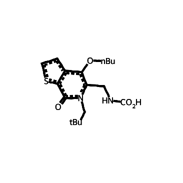 CCCCOc1c(CNC(=O)O)n(CC(C)(C)C)c(=O)c2sccc12